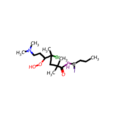 CCCB(I)PC(=O)C(C)(C)CC(C)(Br)C(CCN(C)C)OO